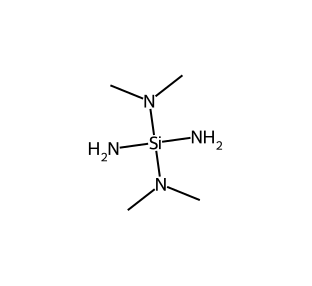 CN(C)[Si](N)(N)N(C)C